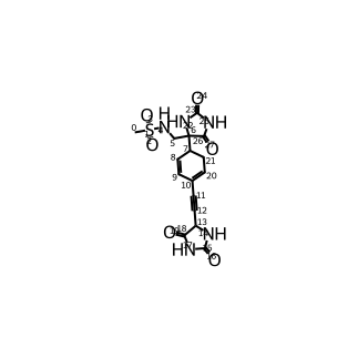 CS(=O)(=O)NCC1(C2C=CC(C#CC3NC(=O)NC3=O)=CC2)NC(=O)NC1=O